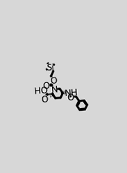 C[Si](C)(C)CCOC(=O)N1C[C@H](NOCc2ccccc2)CC[C@H]1C(=O)O